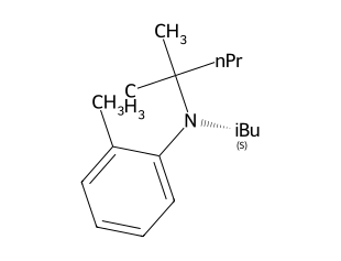 CCCC(C)(C)N(c1ccccc1C)[C@@H](C)CC